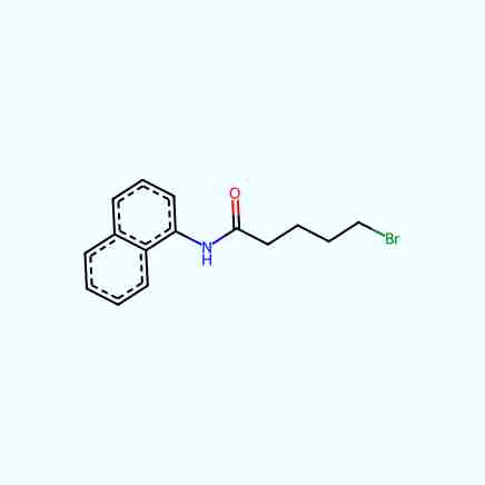 O=C(CCCCBr)Nc1cccc2ccccc12